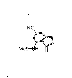 CSNc1cc(C#N)cc2cc[nH]c12